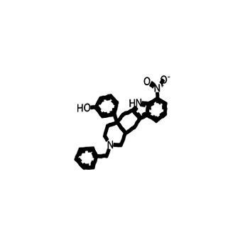 O=[N+]([O-])c1cccc2c3c([nH]c12)CC1(c2cccc(O)c2)CCN(Cc2ccccc2)CC1C3